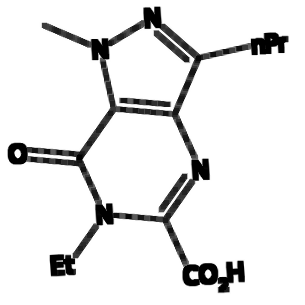 CCCc1nn(C)c2c(=O)n(CC)c(C(=O)O)nc12